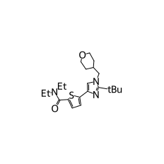 CCN(CC)C(=O)c1ccc(-c2cn(CC3CCOCC3)c(C(C)(C)C)n2)s1